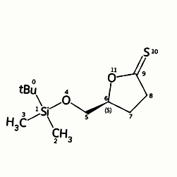 CC(C)(C)[Si](C)(C)OC[C@@H]1CCC(=S)O1